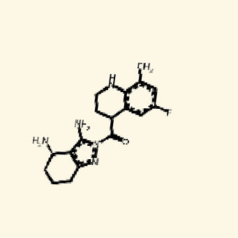 Cc1cc(F)cc2c1NCCC2C(=O)n1nc2c(c1N)[C@H](N)CCC2